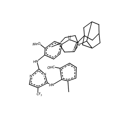 COc1cc(NC(=O)C23CC4CC(C2)C(N2CCN(C)CC2)C(C4)C3)ccc1Nc1ncc(C(F)(F)F)c(Nc2c(C)cccc2C=O)n1